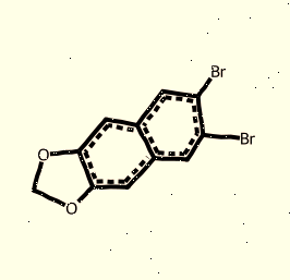 Brc1cc2cc3c(cc2cc1Br)OCO3